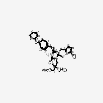 COCC(C)(C=O)Cn1c(=O)[nH]/c(=N\c2ccc(Oc3ccccn3)cc2)n(Cc2ccc(Cl)s2)c1=O